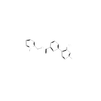 COc1cc(Cl)ccc1-c1cccc(C(=O)NCc2cccc[n+]2[O-])c1